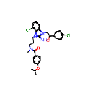 CC(C)Oc1ccc(C(=O)N(C)CCCn2c(=N)n(CC(=O)c3ccc(Cl)cc3)c3cccc(Cl)c32)cc1